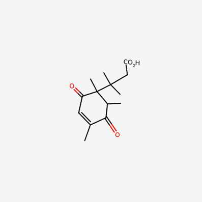 CC1=CC(=O)C(C)(C(C)(C)CC(=O)O)C(C)C1=O